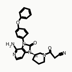 N#CCC(=O)N1CCC[C@@H](n2c(=O)n(-c3ccc(Oc4ccccc4)cc3)c3c(N)nccc32)C1